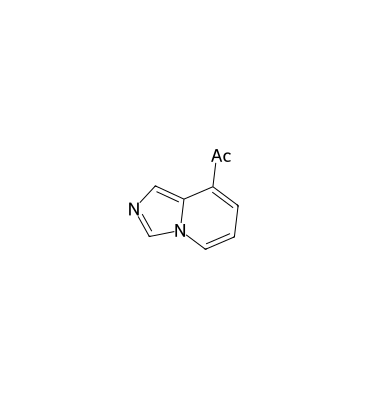 CC(=O)c1cccn2cncc12